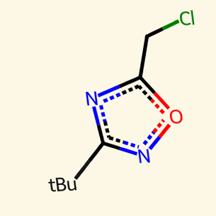 CC(C)(C)c1noc(CCl)n1